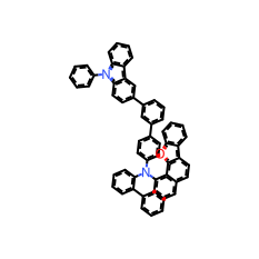 c1ccc(-c2ccccc2N(c2ccc(-c3cccc(-c4ccc5c(c4)c4ccccc4n5-c4ccccc4)c3)cc2)c2cccc3ccc4c5ccccc5oc4c23)cc1